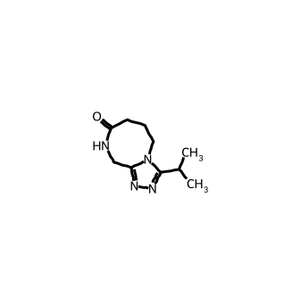 CC(C)c1nnc2n1CCCC(=O)NC2